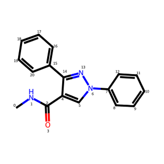 CNC(=O)c1cn(-c2ccccc2)nc1-c1ccccc1